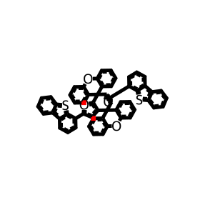 c1ccc2c(c1)Oc1ccccc1C21c2cc(-c3cccc4c3sc3ccccc34)oc2C2(c3ccccc3Oc3ccccc32)c2cc(-c3cccc4c3sc3ccccc34)oc21